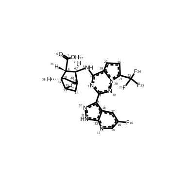 O=C(O)[C@@H]1[C@@H](Nc2nc(-c3n[nH]c4ncc(F)cc34)nn3c(C(F)(F)F)ccc23)C23CC[C@H]1C(C2)C3